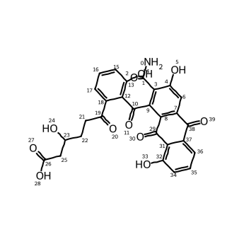 NC(=O)c1c(O)cc2c(c1C(=O)c1c(O)cccc1C(=O)CCC(O)CC(=O)O)C(=O)c1c(O)cccc1C2=O